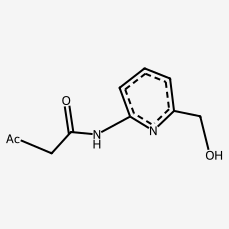 CC(=O)CC(=O)Nc1cccc(CO)n1